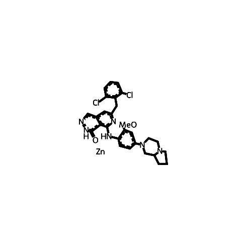 COc1cc(N2CCN3CCCC3C2)ccc1Nc1nc(Cc2c(Cl)cccc2Cl)cc2cn[nH]c(=O)c12.[Zn]